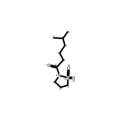 CC(C)CCCC(=O)N1CCCS1(=O)=O